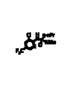 CCCSP(=O)(NC)Nc1ncc(C(F)(F)F)cc1Cl